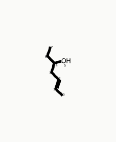 CC=CCC(O)CC